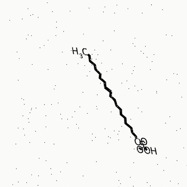 CCCCCCCCC=CCCCCCCCCCCOS(=O)(=O)O